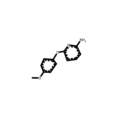 COc1ccc(Oc2cccc(N)n2)cc1